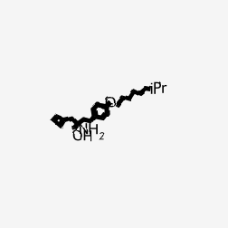 CC(C)CCCCCCOc1ccc(CCC(N)(CO)CC2CCC2)cc1